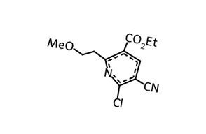 CCOC(=O)c1cc(C#N)c(Cl)nc1CCOC